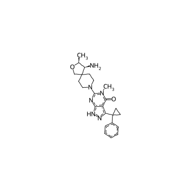 C[C@@H]1OCC2(CCN(c3nc4[nH]nc(C5(c6ccccc6)CC5)c4c(=O)n3C)CC2)[C@@H]1N